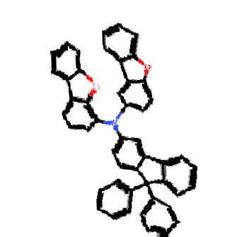 c1ccc(C2(c3ccccc3)c3ccccc3-c3cc(N(c4ccc5oc6ccccc6c5c4)c4cccc5c4oc4ccccc45)ccc32)cc1